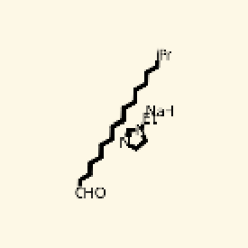 CC(C)CCCCCCCCCCCCCCC=O.CCN1C=NCC1.[NaH]